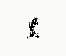 Cc1c(C(=O)NC2(C)CCS(=O)(=O)CC2)nc2ccc(Oc3ncc(Cl)cc3OCC3(F)CC3)cn12